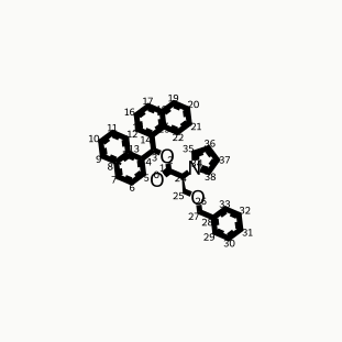 O=C(OC(c1cccc2ccccc12)c1cccc2ccccc12)[C@H](COCc1ccccc1)n1cccc1